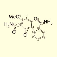 COc1ccc(-c2ccccc2C(N)=O)c(Cl)c1C(N)=O